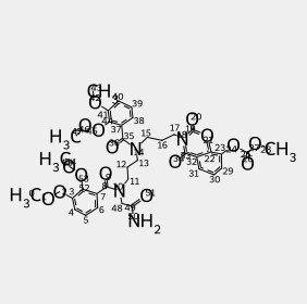 COOc1cccc(C(=O)N(CCCN(CCCn2c(=O)oc3c(OC(=O)OC)cccc3c2=O)C(=O)c2cccc(OC)c2OOC)CC(N)=O)c1OOC